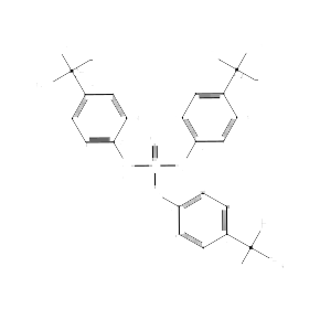 O=P(Oc1ccc(C(F)(F)F)cc1)(Oc1ccc(C(F)(F)F)cc1)Oc1ccc(C(F)(F)F)cc1